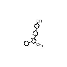 Cc1cc(C2CCCCC2)nc(N2CCN(c3ccc(O)cc3)CC2)c1